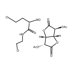 CC(=O)O[C@@H]1C(=O)O[C@@H]2[C@H]1OC(=O)[C@@H]2OC(C)=O.O=NN(CCCl)C(=O)NCCCl